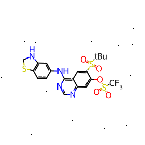 CC(C)(C)S(=O)(=O)c1cc2c(Nc3ccc4c(c3)NCS4)ncnc2cc1OS(=O)(=O)C(F)(F)F